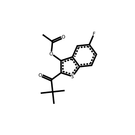 CC(=O)Oc1c(C(=O)C(C)(C)C)sc2ccc(F)cc12